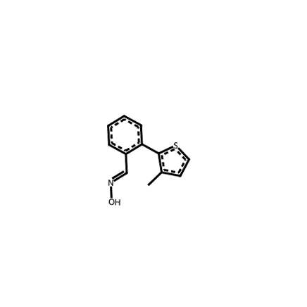 Cc1ccsc1-c1ccccc1C=NO